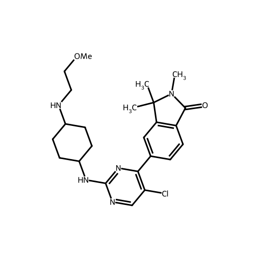 COCCNC1CCC(Nc2ncc(Cl)c(-c3ccc4c(c3)C(C)(C)N(C)C4=O)n2)CC1